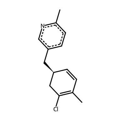 CC1=C(Cl)C[C@@H](Cc2ccc(C)nc2)C=C1